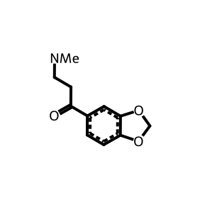 CNCCC(=O)c1ccc2c(c1)OCO2